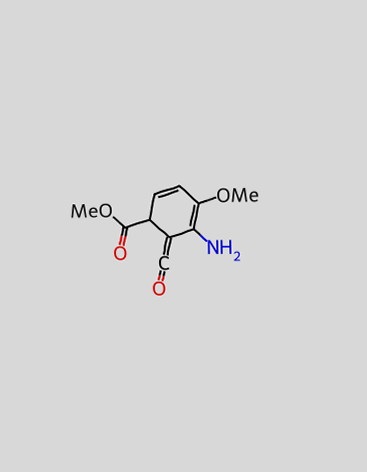 COC(=O)C1C=CC(OC)=C(N)C1=C=O